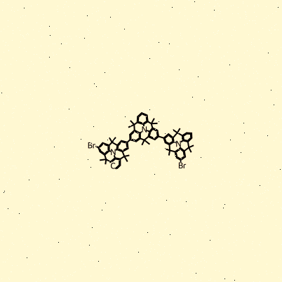 CC1(C)c2cccc3c2N2c4c1cc(Br)cc4C(C)(C)c1cc(-c4cc5c6c(c4)C(C)(C)c4cc(-c7cc8c9c(c7)C(C)(C)c7cc(Br)cc%10c7N9c7c(cccc7C8(C)C)C%10(C)C)cc7c4N6c4c(cccc4C7(C)C)C5(C)C)cc(c12)C3(C)C